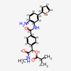 CNC(=O)C(OC(=O)C(C)C)c1ccc(C(=O)Nc2cc(-c3cccs3)ccc2N)cc1